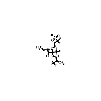 C=C(C(=O)OC(OCCC(F)(F)S(=O)(=O)O)(C(=O)NCC)C(F)(F)F)C(F)(F)F